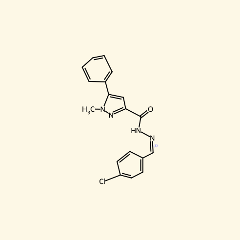 Cn1nc(C(=O)N/N=C\c2ccc(Cl)cc2)cc1-c1ccccc1